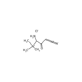 C[N+](C)(C)C(N)C(=O)C=[N+]=[N-].[Cl-]